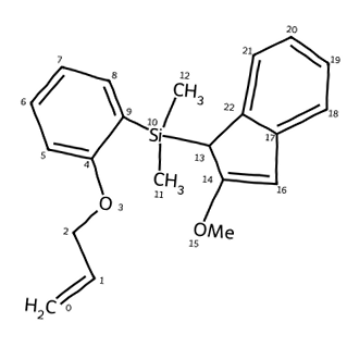 C=CCOc1ccccc1[Si](C)(C)C1C(OC)=Cc2ccccc21